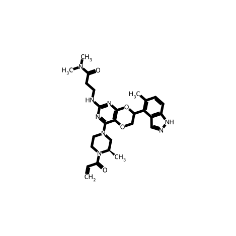 C=CC(=O)N1CCN(c2nc(NCCC(=O)N(C)C)nc3c2OCC(c2c(C)ccc4[nH]ncc24)O3)C[C@H]1C